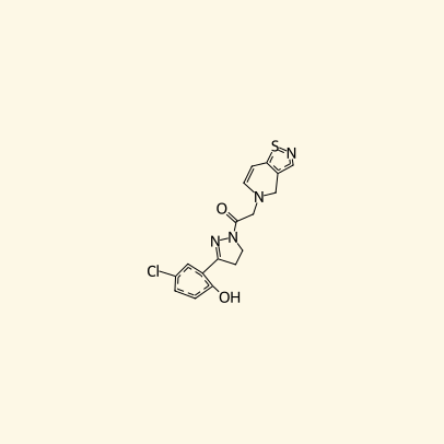 O=C(CN1C=Cc2sncc2C1)N1CCC(c2cc(Cl)ccc2O)=N1